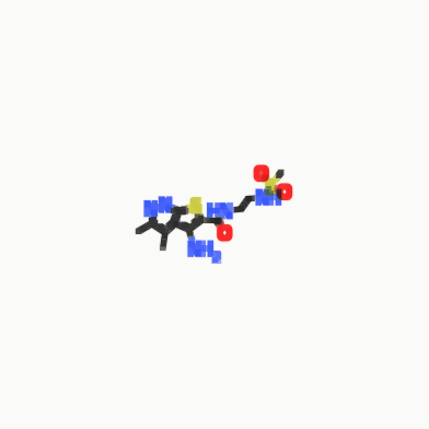 Cc1nnc2sc(C(=O)NCCNS(C)(=O)=O)c(N)c2c1C